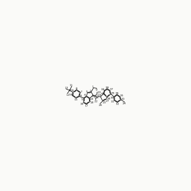 CCC1=Cc2c(-c3ccc(C(C)(C)C)cc3)cccc2C1[Si](C)(C)C1C(C)=Cc2c(-c3ccc(C)cc3)cccc21